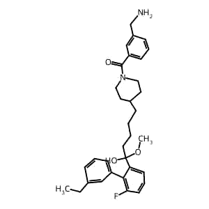 CCc1cccc(-c2c(F)cccc2C(O)(CCCCC2CCN(C(=O)c3cccc(CN)c3)CC2)OC)c1